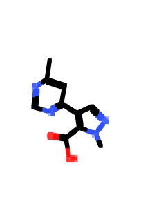 Cc1cc(-c2cnn(C)c2C(=O)O)ncn1